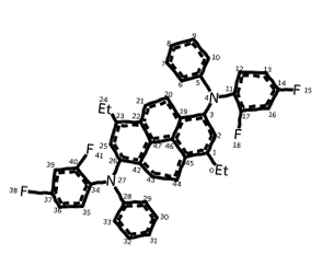 CCc1cc(N(c2ccccc2)c2ccc(F)cc2F)c2ccc3c(CC)cc(N(c4ccccc4)c4ccc(F)cc4F)c4ccc1c2c34